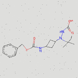 CC(C)(C)N(NC(=O)O)C1CC(NC(=O)OCc2ccccc2)C1